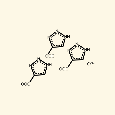 O=C([O-])c1c[nH]nn1.O=C([O-])c1c[nH]nn1.O=C([O-])c1c[nH]nn1.[Cr+3]